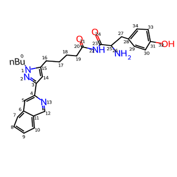 CCCCn1nc(-c2cc3ccccc3cn2)cc1CCCCC(=O)NC(=O)C(N)Cc1ccc(O)cc1